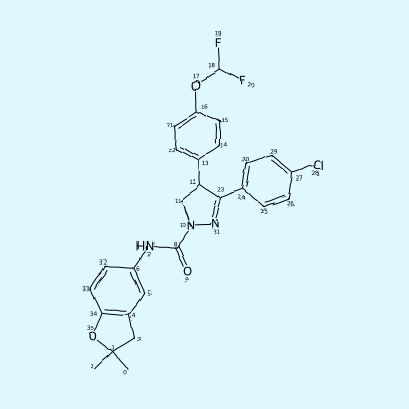 CC1(C)Cc2cc(NC(=O)N3CC(c4ccc(OC(F)F)cc4)C(c4ccc(Cl)cc4)=N3)ccc2O1